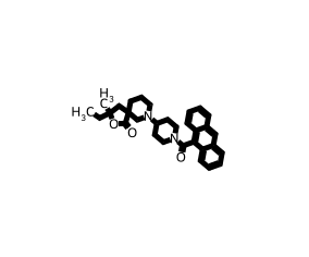 CCC1(C)CC2(CCCN(C3CCN(C(=O)c4c5ccccc5cc5ccccc45)CC3)C2)C(=O)O1